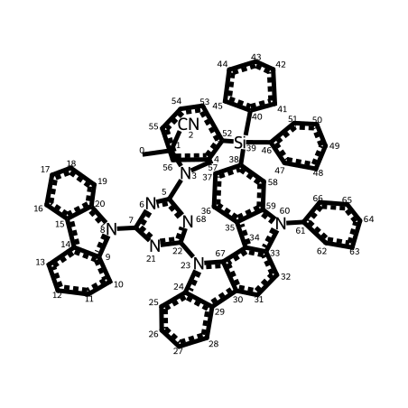 CC(C#N)N(C)c1nc(-n2c3ccccc3c3ccccc32)nc(-n2c3ccccc3c3ccc4c(c5ccc([Si](c6ccccc6)(c6ccccc6)c6ccccc6)cc5n4-c4ccccc4)c32)n1